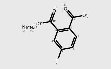 O=C([O-])c1ccc(F)cc1C(=O)[O-].[Na+].[Na+]